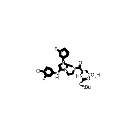 CC(C)(C)OC(=O)N[C@@H](CC(=O)O)C(=O)N1CCN2C(Nc3ccc(Cl)c(F)c3)=CN(c3cccc(F)c3)C2C1